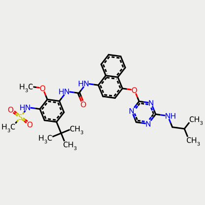 COc1c(NC(=O)Nc2ccc(Oc3ncnc(NCC(C)C)n3)c3ccccc23)cc(C(C)(C)C)cc1NS(C)(=O)=O